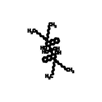 CCCCCCCN(CCCCCCC)c1cc(O)c(C2C(O)C(c3c(O)cc(N(CCCCCCC)CCCCCCC)c4cc5ccccc5cc34)C2O)c2cc3ccccc3cc12